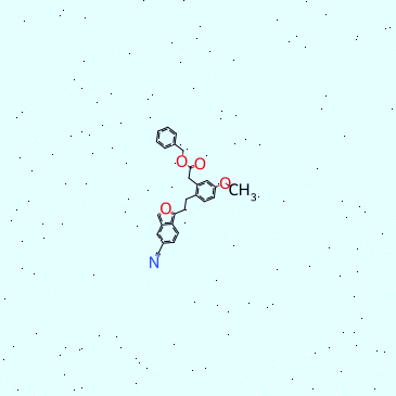 COc1ccc(CCc2occ3cc(C#N)ccc23)c(CC(=O)OCc2ccccc2)c1